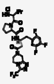 CC(C)C(NCl)C(=O)N1CCCC1C(=O)N[C@@H](CC(=O)N1CCn2c(nnc2C(F)(F)F)C1)Cc1cc(F)c(F)cc1F